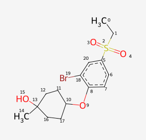 CCS(=O)(=O)c1ccc(OC2CCC(C)(O)CC2)c(Br)c1